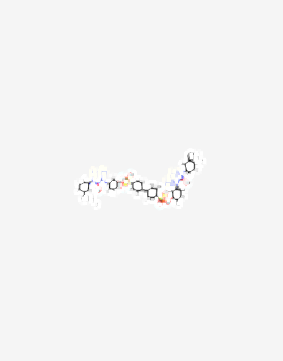 Cc1cccc(NC(=O)Nc2cccc(OS(=O)(=O)c3ccc(-c4ccc(S(=O)(=O)Oc5cccc(NC(=O)Nc6cccc(C)c6)c5)cc4)cc3)c2)c1